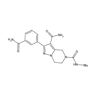 CC(C)(C)NC(=O)N1CCn2nc(-c3cccc(C(N)=O)c3)c(C(N)=O)c2C1